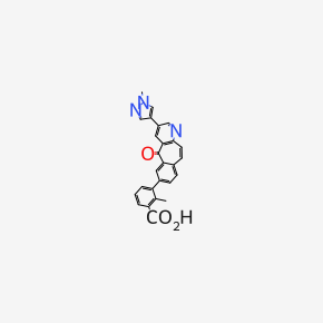 Cc1c(C(=O)O)cccc1-c1ccc2ccc3ncc(-c4cnn(C)c4)cc3c(=O)c2c1